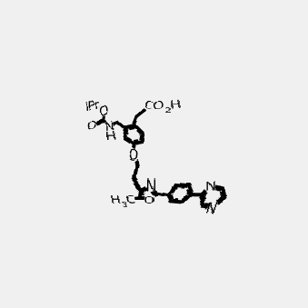 Cc1oc(-c2ccc(-c3cnccn3)cc2)nc1CCOc1ccc(CCC(=O)O)c(CNC(=O)OC(C)C)c1